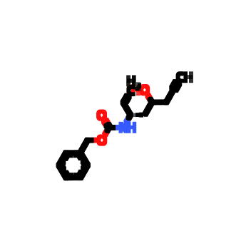 C#CCC(O)C[C@@H](C=C)NC(=O)OCc1ccccc1